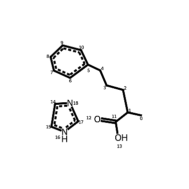 CC(CCCc1ccccc1)C(=O)O.c1c[nH]cn1